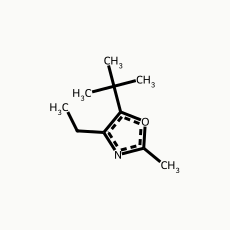 CCc1nc(C)oc1C(C)(C)C